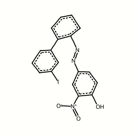 O=[N+]([O-])c1cc(N=Nc2ccccc2-c2cccc(I)c2)ccc1O